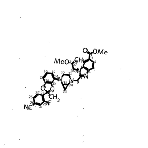 COC(=O)c1ccc2nc(CN3CCN(c4cccc5c4OC(C)(c4ccc(C#N)cc4F)O5)C4CC43)n(C[C@@H](C)OC)c2c1